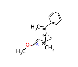 CO/C=C/[C@]1(C)C[C@H]1[C@@H](C)c1ccccc1